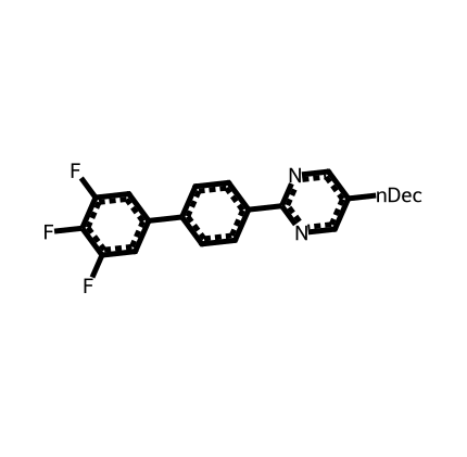 CCCCCCCCCCc1cnc(-c2ccc(-c3cc(F)c(F)c(F)c3)cc2)nc1